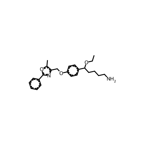 CCOC(CCCCN)c1ccc(OCc2nc(-c3ccccc3)oc2C)cc1